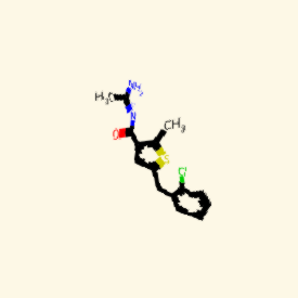 C/C(N)=N\C(=O)c1cc(Cc2ccccc2Cl)sc1C